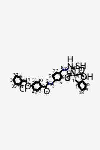 O=C(/C=C/c1ccc(/C=C2/N[C@H](S)N([C@@H](Cc3ccccc3)C(=O)O)[S+]2[O-])cc1)c1ccc(OCc2ccccc2Cl)cc1